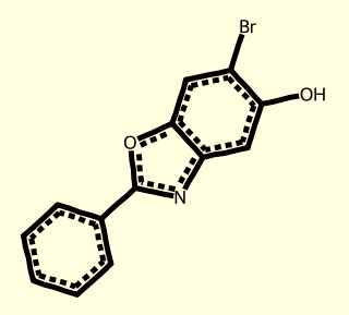 Oc1cc2nc(-c3ccccc3)oc2cc1Br